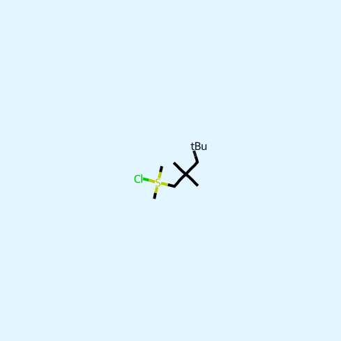 CC(C)(C)CC(C)(C)CS(C)(C)Cl